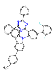 Cc1ccc(-c2ccc3c(c2)c2ccccc2n3-c2ccc(-c3c(F)cccc3F)cc2-c2nc(-c3ccccc3)nc(-c3ccccc3)n2)cc1